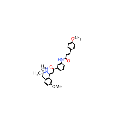 COc1ccc2c(c1)/C(=C/C(=O)c1cccc(NC(=O)C=Cc3ccc(OC(F)(F)F)cc3)c1)NC(C)(C)C2